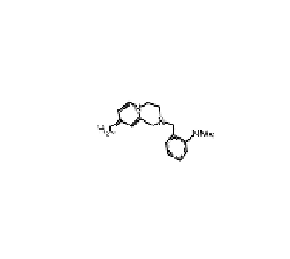 C=C1C=CN2CCN(Cc3ccccc3NC)CC2=C1